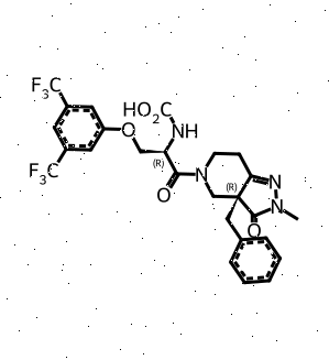 CN1N=C2CCN(C(=O)[C@@H](COc3cc(C(F)(F)F)cc(C(F)(F)F)c3)NC(=O)O)C[C@@]2(Cc2ccccc2)C1=O